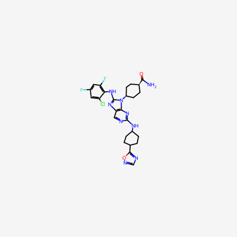 NC(=O)[C@H]1CC[C@@H](n2c(Nc3c(F)cc(F)cc3Cl)nc3cnc(NC4CCC(c5ncno5)CC4)nc32)CC1